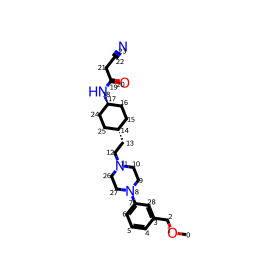 COCc1cccc(N2CCN(CC[C@H]3CC[C@H](NC(=O)CC#N)CC3)CC2)c1